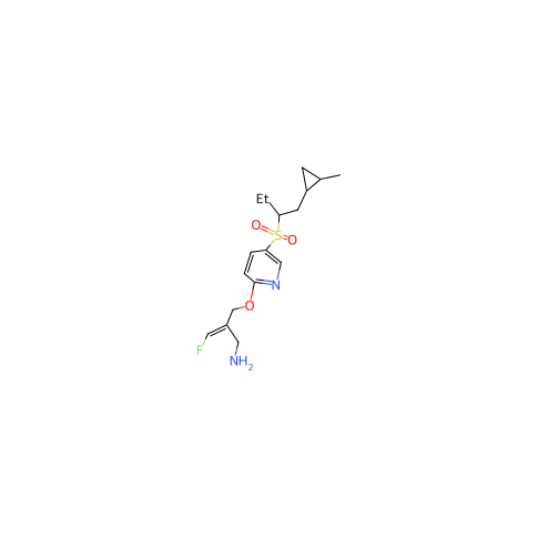 CCC(CC1CC1C)S(=O)(=O)c1ccc(OC/C(=C/F)CN)nc1